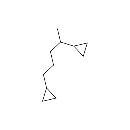 CC(CCCC1CC1)C1CC1